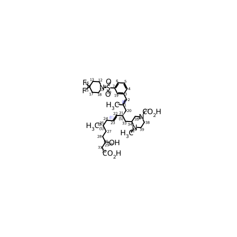 C/C(=C\c1cccc(S(=O)(=O)N2CCC(F)(F)CC2)c1)C[C@H](/C=C/C[C@@H](C)CC[C@@H](O)CC(=O)O)CC1CN(C(=O)O)CCN1C